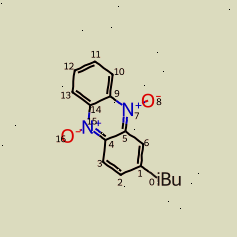 CCC(C)c1ccc2c(c1)[n+]([O-])c1ccccc1[n+]2[O-]